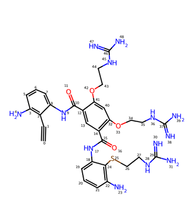 C#Cc1c(N)cccc1NC(=O)c1cc(C(=O)Nc2cccc(N)c2SCCNC(=N)N)c(OCCNC(=N)N)cc1OCCNC(=N)N